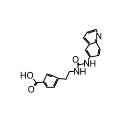 O=C(NCCc1ccc(C(=O)O)cc1)Nc1ccc2ncccc2c1